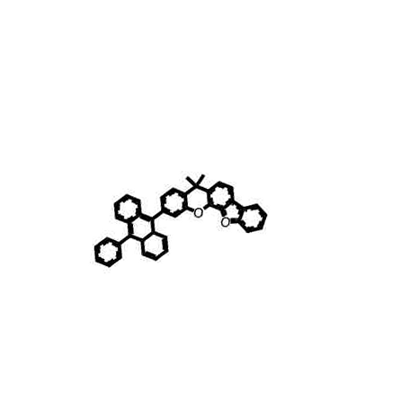 CC1(C)c2ccc(C3=c4ccccc4=C(c4ccccc4)C4C=CC=CC34)cc2Oc2c1ccc1c2oc2ccccc21